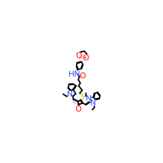 CCN1C(=CC2=C(SCCCCCC(=O)Nc3ccc(B4OCCCO4)cc3)/C(=C\C3=[N+](CC)c4ccccc4C3)C2=O)N(CC)c2ccccc21